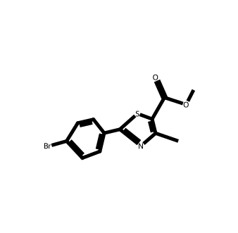 COC(=O)c1sc(-c2ccc(Br)cc2)nc1C